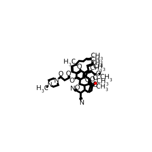 COC(=O)/C(C)=C\CC12OC(C)(C)C3CC(C1=O)C(C(C#N)C#N)C1C(=O)c4c(OC(=O)CC(=O)N5CCN(C)CC5)c5c(c(CC=C(C)C)c4OC132)OC(C)(CCC=C(C)C)C=C5